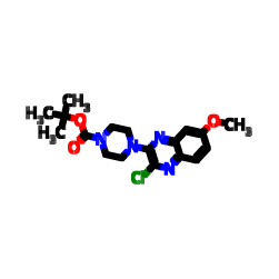 COc1ccc2nc(Cl)c(N3CCN(C(=O)OC(C)(C)C)CC3)nc2c1